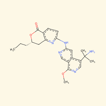 CCC[C@H]1Cc2nc(Nc3cc4c(C(C)(C)N)cnc(OC)c4cn3)ccc2C(=O)O1